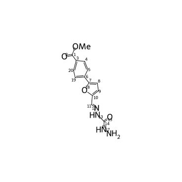 COC(=O)c1ccc(-c2ccc(/C=N/NC(=O)NN)o2)cc1